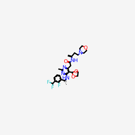 C=C(CCN1CCOCC1)NC(=O)Cc1nc(C)nc(N[C@H](C)c2cccc(C(F)F)c2F)c1C1OCCO1